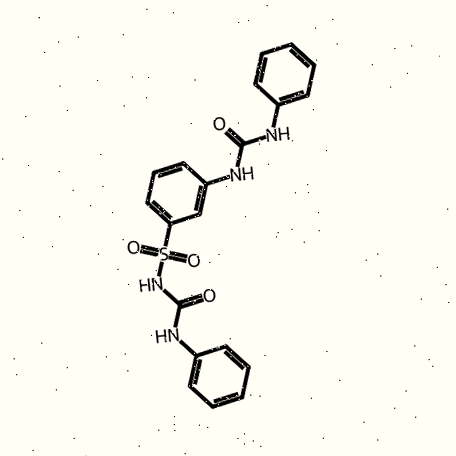 O=C(Nc1ccccc1)Nc1cccc(S(=O)(=O)NC(=O)Nc2ccccc2)c1